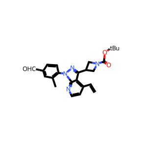 C=Cc1ccnc2c1c(C1CN(C(=O)OC(C)(C)C)C1)nn2-c1ccc(C=O)cc1C